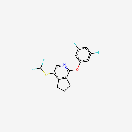 Fc1cc(F)cc(Oc2ncc(SC(F)F)c3c2CCC3)c1